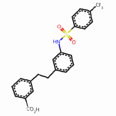 O=C(O)c1cccc(CCc2cccc(NS(=O)(=O)c3ccc(C(F)(F)F)cc3)c2)c1